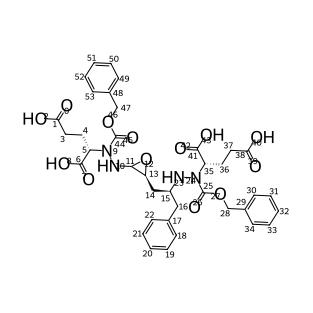 O=C(O)CC[C@@H](C(=O)O)N(NC1O[C@H]1C[C@H](Cc1ccccc1)NN(C(=O)OCc1ccccc1)[C@@H](CCC(=O)O)C(=O)O)C(=O)OCc1ccccc1